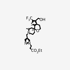 CCOC(=O)CCn1cc(CN2CC[C@]3(C[C@@H]2C)OCCc2c3sc(C(F)(F)F)c2CO)cn1